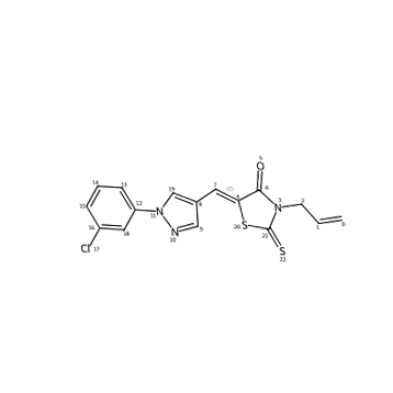 C=CCN1C(=O)/C(=C/c2cnn(-c3cccc(Cl)c3)c2)SC1=S